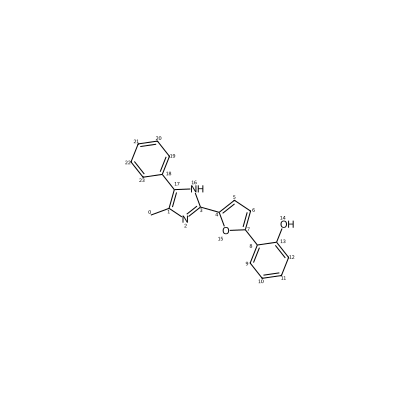 Cc1nc(-c2ccc(-c3ccccc3O)o2)[nH]c1-c1ccccc1